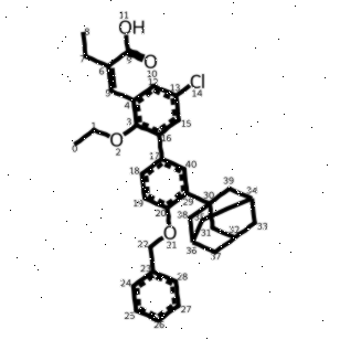 CCOc1c(C=C(CC)C(=O)O)cc(Cl)cc1-c1ccc(OCc2ccccc2)c(C23CC4CC(CC(C4)C2)C3)c1